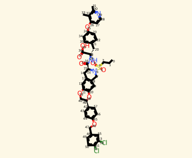 CCCS(=O)(=O)N1Cc2cc3c(cc2C[C@H]1C(=O)N[C@@H](Cc1ccc(Oc2ccnc(C)c2C)cc1)C(=O)O)OC[C@H](c1ccc(OCc2ccc(Cl)c(Cl)c2)cc1)O3